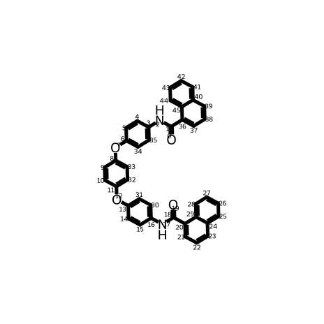 O=C(Nc1ccc(Oc2ccc(Oc3ccc(NC(=O)c4cccc5ccccc45)cc3)cc2)cc1)c1cccc2ccccc12